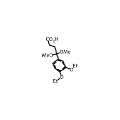 CCOc1ccc(C(CCC(=O)O)(OC)OC)cc1OCC